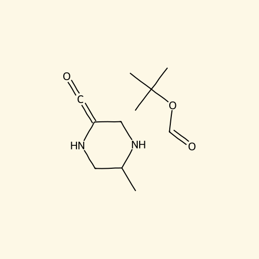 CC(C)(C)OC=O.CC1CNC(=C=O)CN1